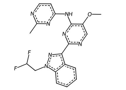 COc1cnc(-c2nn(CC(F)F)c3ccccc23)nc1Nc1ccnc(C)n1